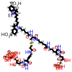 CC[N+]1=C(/C=C/C=C/C=C2/N(CCCCCC(=O)NC(CSSCCC(=O)NCC#Cc3cn([C@H]4CC(O)[C@@H](COP(=O)(O)OP(=O)(O)OP(=O)(O)O)O4)c(=O)[nH]c3=O)C(=O)NCCCCCC(=O)NCCCc3cn([C@H]4CC(O)[C@@H](COP(=O)(O)O)O4)c(=O)[nH]c3=O)c3ccc(S(=O)(=O)O)cc3C2(C)C)C(C)(C)c2cc(S(=O)(=O)O)ccc21